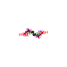 COc1nc(OC2CCc3c(-c4cccc5c4CCC5Oc4nc(OC)c(CNC[C@@H](O)CC(=O)O)cc4Cl)cccc32)c(Cl)cc1CNCC(O)CC(=O)O